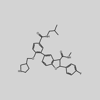 CNC(=O)C1c2cc(-c3cc(C(=O)NCC(C)C)ccc3OCC3CCNC3)ccc2OC1c1ccc(F)cc1